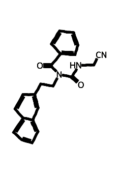 N#CCNC(=O)N(CCc1ccc2ccccc2c1)C(=O)c1ccccc1